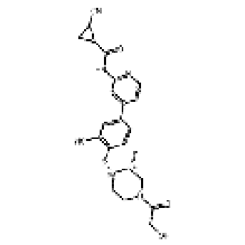 N#Cc1cc(-c2ccnc(NC(=O)C3CC3C#N)c2)ccc1O[C@H]1CCN(C(=O)CO)C[C@H]1F